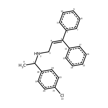 CC(NCC=C(c1ccccc1)c1ccccc1)c1ccc(Cl)cc1